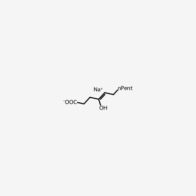 CCCCCCC=C(O)CCC(=O)[O-].[Na+]